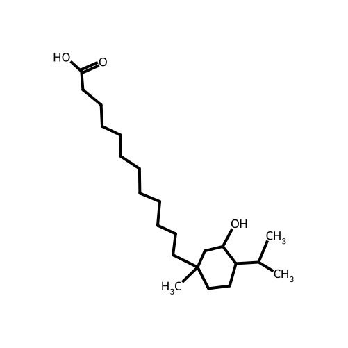 CC(C)C1CCC(C)(CCCCCCCCCCCC(=O)O)CC1O